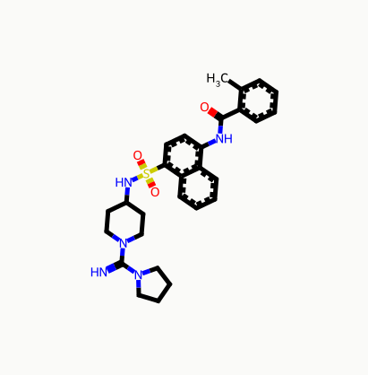 Cc1ccccc1C(=O)Nc1ccc(S(=O)(=O)NC2CCN(C(=N)N3CCCC3)CC2)c2ccccc12